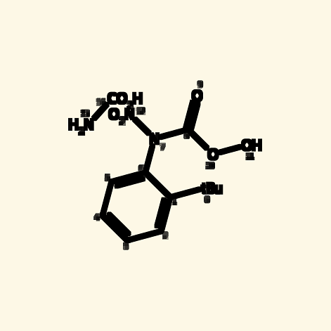 CC(C)(C)c1ccccc1N(C(=O)OO)[N+](=O)[O-].NC(=O)O